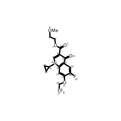 COCCOC(=O)c1cn(C2CC2)c2cc(OCC(F)(F)F)c(F)cc2c1=O